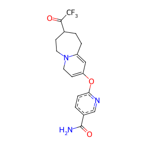 NC(=O)c1ccc(OC2=CCN3CCC(C(=O)C(F)(F)F)CCC3=C2)nc1